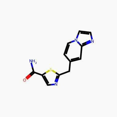 NC(=O)c1cnc(Cc2ccn3ccnc3c2)s1